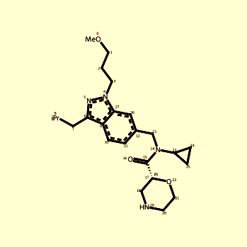 COCCCn1nc(CC(C)C)c2ccc(CN(C(=O)[C@H]3CNCCO3)C3CC3)cc21